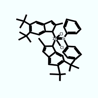 CC1=Cc2cc(C(C)(C)C)c(C(C)(C)C)cc2[CH]1[Zr]([Cl])([Cl])([CH]1C(C)=Cc2cc(C(C)(C)C)c(C(C)(C)C)cc21)=[Si](c1ccccc1)c1ccccc1